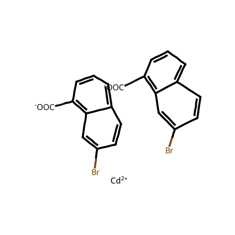 O=C([O-])c1cccc2ccc(Br)cc12.O=C([O-])c1cccc2ccc(Br)cc12.[Cd+2]